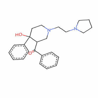 O=C(c1ccccc1)C1CN(CCN2CCCC2)CCC1(O)c1ccccc1